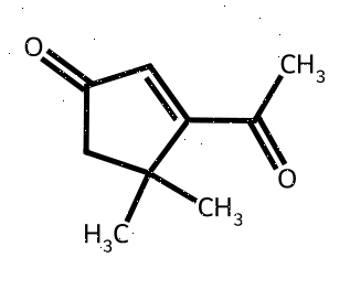 CC(=O)C1=CC(=O)CC1(C)C